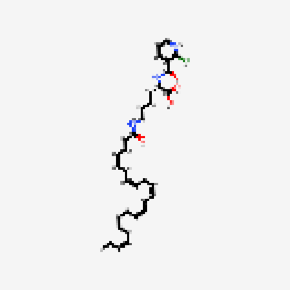 CC/C=C\C/C=C\C/C=C\C/C=C\C/C=C\C/C=C\CCC(=O)NCCCC[C@H](NC(=O)c1cccnc1Cl)C(=O)O